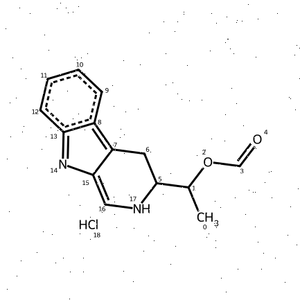 CC(OC=O)C1CC2=c3ccccc3=NC2=CN1.Cl